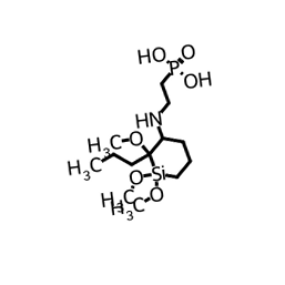 CCCC1(OC)C(NCCP(=O)(O)O)CCC[Si]1(OC)OC